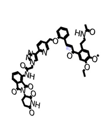 CCOc1cc(C(=O)/C=C/c2ccccc2OCc2ccc(-c3cn(CC(=O)Nc4cccc5c4C(=O)N(C4CCC(=O)NC4=O)C5=O)nn3)nc2)c(CCNC(C)=O)cc1OC